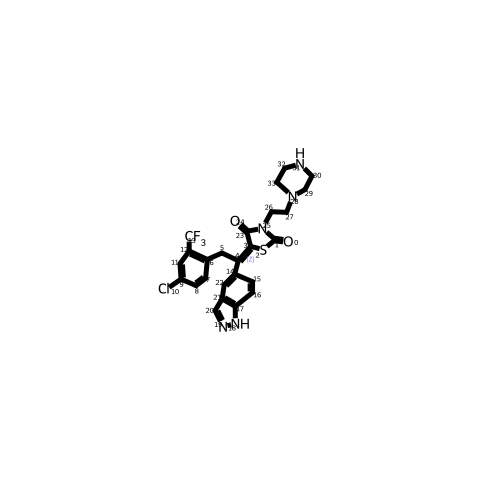 O=C1S/C(=C(/Cc2ccc(Cl)cc2C(F)(F)F)c2ccc3[nH]ncc3c2)C(=O)N1CCN1CCNCC1